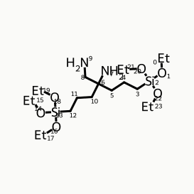 CCO[Si](CCCC(N)(CN)CCC[Si](OCC)(OCC)OCC)(OCC)OCC